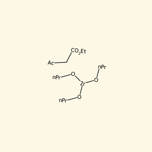 CCC[O][Zr]([O]CCC)[O]CCC.CCOC(=O)CC(C)=O